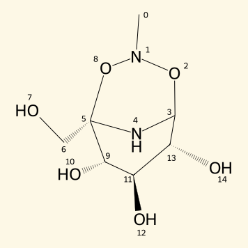 CN1OC2N[C@](CO)(O1)[C@@H](O)[C@H](O)[C@H]2O